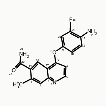 Cc1cc2nccc(Oc3ccc(N)c(F)c3)c2cc1C(N)=O